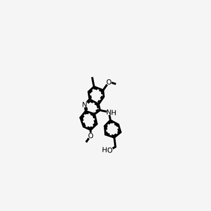 COc1ccc2nc3cc(C)c(OC)cc3c(Nc3ccc(CO)cc3)c2c1